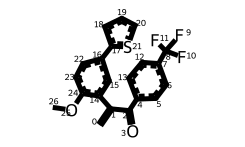 C=C(C(=O)c1ccc(C(F)(F)F)cc1)c1cc(-c2cccs2)ccc1OC